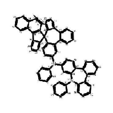 c1ccc(N(c2ccc3c(c2)-c2ccccc2-c2ccccc2C32c3ccccc3-c3c2c2ccccc2c2ccccc32)c2ccc3c(c2)N(c2ccccc2)c2ccccc2-c2ccccc2-3)cc1